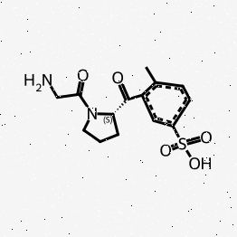 Cc1ccc(S(=O)(=O)O)cc1C(=O)[C@@H]1CCCN1C(=O)CN